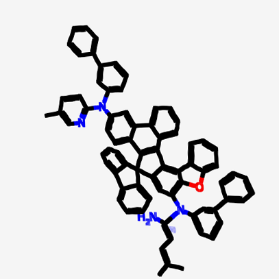 CC(C)=C/C=C(\N)N(c1cccc(-c2ccccc2)c1)c1cc2c(c3c1oc1ccccc13)-c1c(c3ccc(N(c4cccc(-c5ccccc5)c4)c4ccc(C)cn4)cc3c3ccccc13)C21c2ccccc2-c2ccccc21